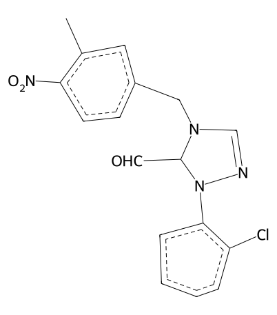 Cc1cc(CN2C=NN(c3ccccc3Cl)C2C=O)ccc1[N+](=O)[O-]